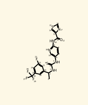 CC(NC(=S)Nc1ccc(NC(=O)c2cscn2)nc1)c1cc(F)cc(C(F)(F)F)c1